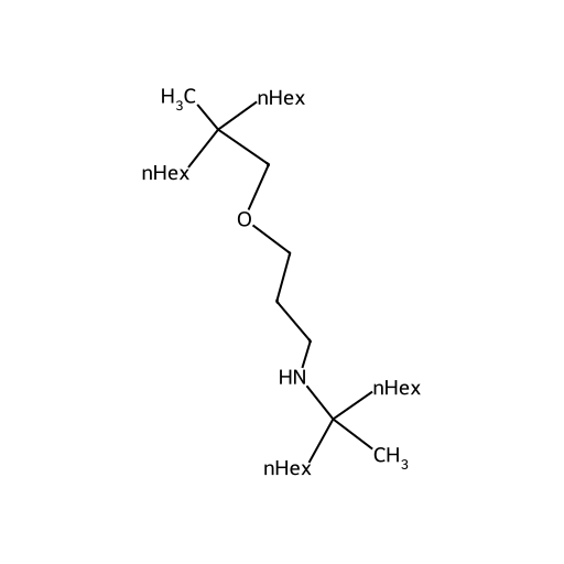 CCCCCCC(C)(CCCCCC)COCCCNC(C)(CCCCCC)CCCCCC